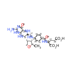 CC1CCCO1.Nc1nc(=O)c2c([nH]1)NC[C@@H](CNc1ccc(C(=O)N[C@@H](CCC(=O)O)C(=O)O)cc1)N2